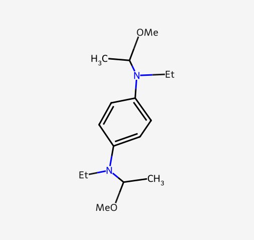 CCN(c1ccc(N(CC)C(C)OC)cc1)C(C)OC